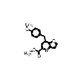 COC(=O)c1cc(Cc2ccc(OC)cc2)c2occc2n1